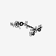 CC1(C)OB(c2ccc(CONC(=O)CCCCC[C@H](NC(=O)C3CCC(=O)N3)C(=O)Nc3cccc(C(F)(F)F)c3)cc2)OC1(C)C